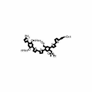 CCCCCCCCC#Cc1ccc(-c2ccc(-c3cc(CP=O)c(-c4ccc(-c5ccc(-c6cc(OCCCCCC)c(-c7ccc(P)s7)cc6OCCCCCC)s5)s4)cc3CP(C)(=O)OCC)s2)s1